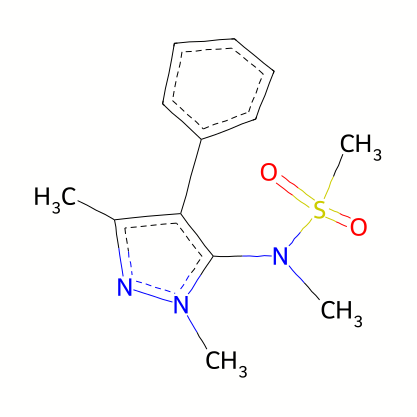 Cc1nn(C)c(N(C)S(C)(=O)=O)c1-c1ccccc1